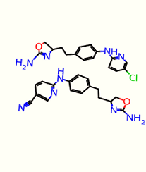 N#Cc1ccc(Nc2ccc(CCC3COC(N)=N3)cc2)nc1.NC1=NC(CCc2ccc(Nc3ccc(Cl)cn3)cc2)CO1